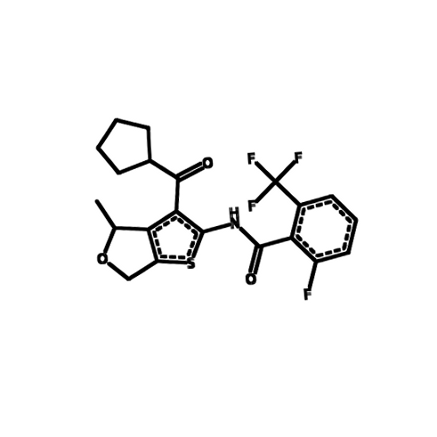 CC1OCc2sc(NC(=O)c3c(F)cccc3C(F)(F)F)c(C(=O)C3CCCC3)c21